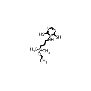 CCO[Si](C)(C)CCCNN1C(S)=NC=NC1S